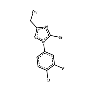 CCc1nc(CO)nn1-c1ccc(Cl)c(F)c1